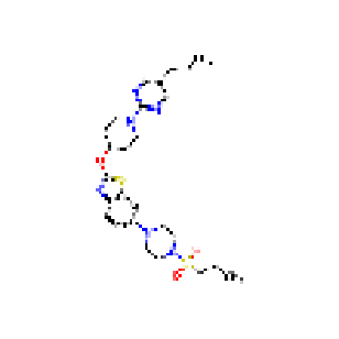 CCCc1cnc(N2CCC(Oc3nc4ccc(N5CCN(S(=O)(=O)CCC)CC5)cc4s3)CC2)nc1